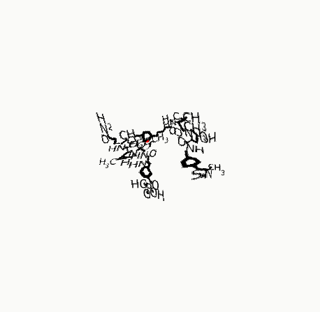 Cc1ncsc1-c1ccc(CNC(=O)[C@@H]2C[C@@H](O)CN2C(=O)[C@@H](NC(=O)CCCCc2ccc(CO[C@H](C)[C@H](CCC(N)=O)NC(=O)[C@@H]3C4[C@@H](CN3C(=O)[C@H](CC(C)C)NC(=O)c3cc5cc(C(=O)P(=O)(O)O)ccc5[nH]3)[C@H]4C)cc2)C(C)(C)C)cc1